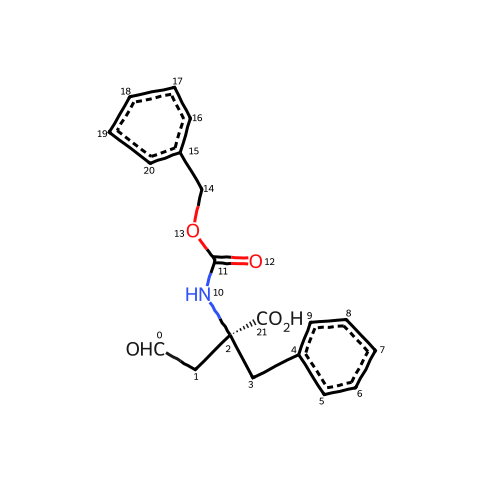 O=CC[C@](Cc1ccccc1)(NC(=O)OCc1ccccc1)C(=O)O